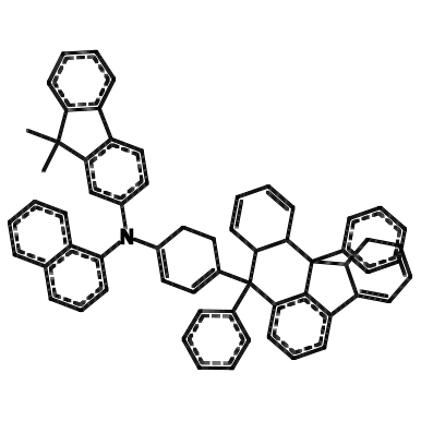 CC1(C)c2ccccc2-c2ccc(N(C3=CC=C(C4(c5ccccc5)c5cccc6c5C(c5ccccc5)(C5CC=CC=C65)C5C=CC=CC54)CC3)c3cccc4ccccc34)cc21